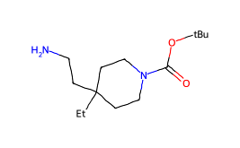 CCC1(CCN)CCN(C(=O)OC(C)(C)C)CC1